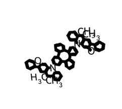 CC1(C)c2ccccc2N(c2ccc3c(c2)-c2ccccc2-c2ccc(N4c5ccccc5C(C)(C)c5cc6c(cc54)oc4ccccc46)cc2-c2ccccc2-3)c2cc3oc4ccccc4c3cc21